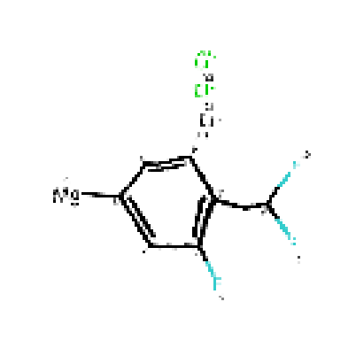 Fc1c[c]([Mg+])ccc1C(F)F.[Cl-].[Cl-].[Li+]